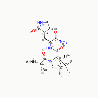 CC(=O)N[C@H](C(=O)N1C[C@H]2[C@@H]([C@H]1C(=O)N[C@@H](C[C@@H]1CCNC1=O)C(N)=O)C2(C)C)C(C)(C)C